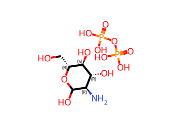 N[C@H]1C(O)O[C@H](CO)[C@@H](O)[C@@H]1O.O=P(O)(O)OP(=O)(O)O